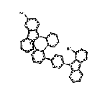 N#Cc1ccc2c(c1)c1ccccc1n2-c1ccccc1-c1c(C#N)cccc1-c1ccc(-n2c3ccccc3c3cccc(C#N)c32)cc1